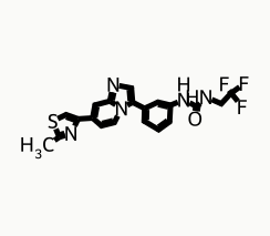 Cc1nc(-c2ccn3c(-c4cccc(NC(=O)NCC(F)(F)F)c4)cnc3c2)cs1